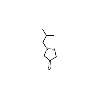 CC(C)CN1CC(=O)CS1